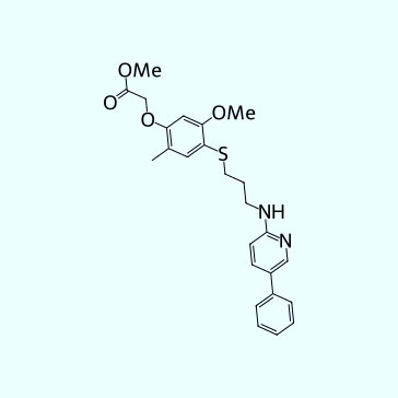 COC(=O)COc1cc(OC)c(SCCCNc2ccc(-c3ccccc3)cn2)cc1C